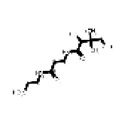 CC(C)(CO)C(O)C(=O)NCCC(=O)NCCS(=O)(=O)O